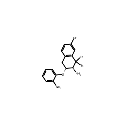 CCC1(CC)c2cc(O)ccc2C[C@@H](Sc2ccccc2N)[C@@H]1N